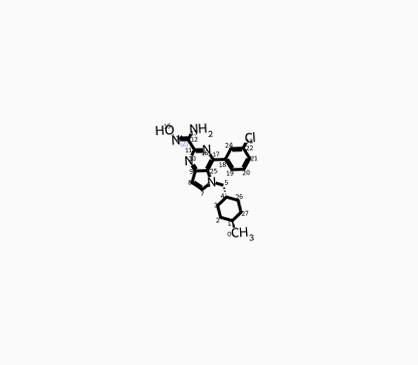 C[C@H]1CC[C@H](Cn2ccc3nc(/C(N)=N/O)nc(-c4cccc(Cl)c4)c32)CC1